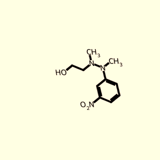 CN(CCO)N(C)c1cccc([N+](=O)[O-])c1